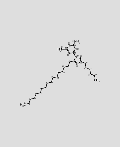 CCCCCCCCCCCCCCCCCc1nc(CCCCCC)cn1-c1nc(N)nc(N)n1